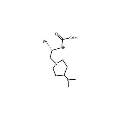 CSC(=O)N[C@H](CN1CCC(N(C)C)CC1)C(C)C